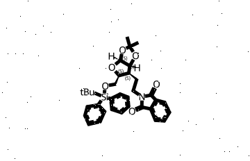 CC1(C)O[C@@H]2O[C@H](CO[Si](c3ccccc3)(c3ccccc3)C(C)(C)C)[C@H](CCN3C(=O)c4ccccc4C3=O)[C@@H]2O1